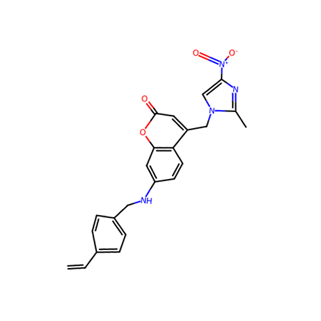 C=Cc1ccc(CNc2ccc3c(Cn4cc([N+](=O)[O-])nc4C)cc(=O)oc3c2)cc1